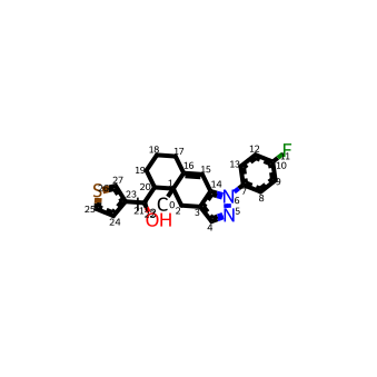 CC12Cc3cnn(-c4ccc(F)cc4)c3C=C1CCCC2C(O)c1ccsc1